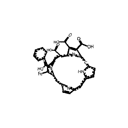 O=C(O)C1=C(C(=O)O)c2nc1cc1ccc(cc3nc(cc4[c]([Fe])c(-c5ccccc5)c(c2C(=O)O)n4C(=O)O)C=C3)[nH]1